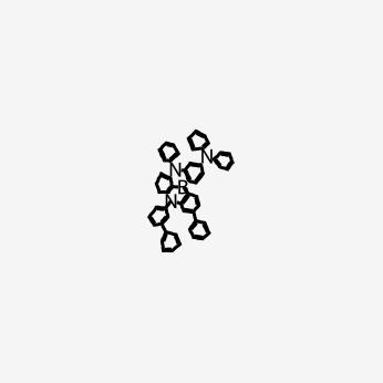 C1=C2C3=C(CC1)N(c1cccc(-c4ccccc4)c1)c1cc(-c4ccccc4)ccc1B3c1ccc(N(c3ccccc3)c3ccccc3)cc1N2c1ccccc1